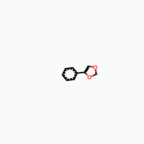 [CH]1OC=C(c2ccccc2)O1